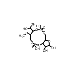 COC1COP(=O)(O)OC2C(COP(=O)(O)OC1C(O)O)OC(O)C2O